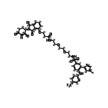 Cn1cnc(-c2cc(S(=O)(=O)NCCOCCOCCNC(=O)CCOc3cccc4c3C(=O)N(C3CCC(=O)NC3=O)C4=O)ccc2Nc2ccc(C(F)(F)F)cn2)c1